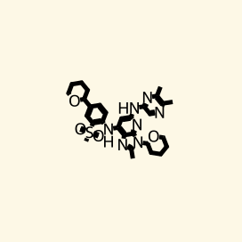 Cc1ncc(Nc2cc(Nc3ccc(C4CCCCO4)cc3S(C)(=O)=O)c3nc(C)n(C4CCCCO4)c3n2)nc1C